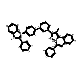 Cc1c(-c2cccc(-c3ccc(-n4c(-c5ccccc5)nc5ccccc54)cc3)c2)nn2c(-c3ccccc3)cc3ccccc3c12